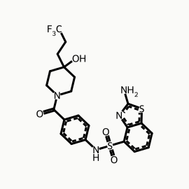 Nc1nc2c(S(=O)(=O)Nc3ccc(C(=O)N4CCC(O)(CCC(F)(F)F)CC4)cc3)cccc2s1